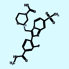 CNC(=O)c1ccc(-c2nc3cc(S(C)(=O)=O)ccn3c2C[C@H]2CN(C(=O)O)CCO2)c(F)c1